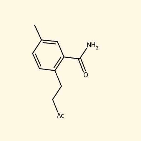 CC(=O)CCc1ccc(C)cc1C(N)=O